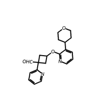 O=CC1(c2ccccn2)CC(Oc2ncccc2C2CCOCC2)C1